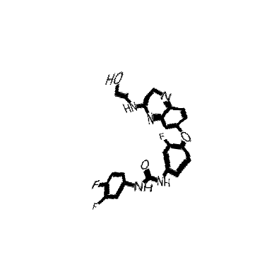 O=C(Nc1ccc(F)c(F)c1)Nc1ccc(Oc2ccc3ncc(NCCO)nc3c2)c(F)c1